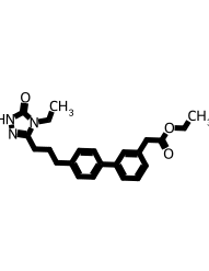 CCOC(=O)Cc1cccc(-c2ccc(CCCc3n[nH]c(=O)n3CC)cc2)c1